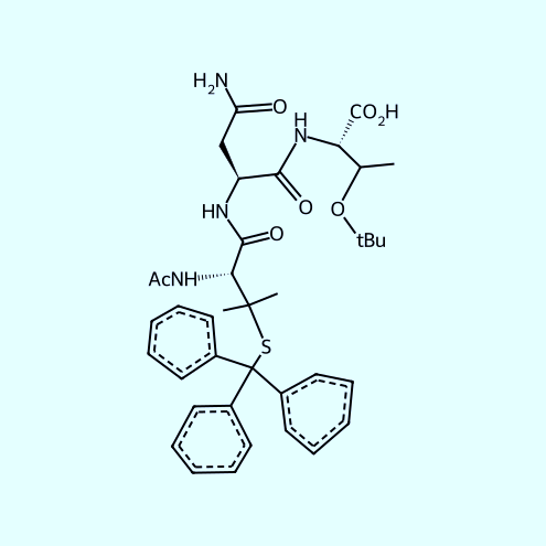 CC(=O)N[C@H](C(=O)N[C@@H](CC(N)=O)C(=O)N[C@H](C(=O)O)C(C)OC(C)(C)C)C(C)(C)SC(c1ccccc1)(c1ccccc1)c1ccccc1